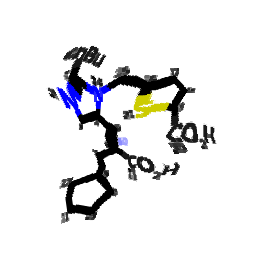 CCCCc1ncc(/C=C(\CC2CCCC2)C(=O)O)n1Cc1ccc(C(=O)O)s1